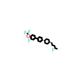 CC(F)CCC[C@H]1CC[C@H](c2ccc(-c3ccc(OC(F)F)c(F)c3)cc2)CC1